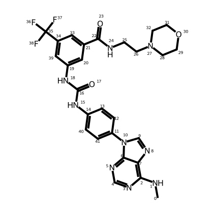 CNc1ncnc2c1ncn2-c1ccc(NC(=O)Nc2cc(C(=O)NCCN3CCOCC3)cc(C(F)(F)F)c2)cc1